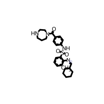 Cc1cccc(S(=O)(=O)Nc2ccc(C(=O)N3CCCNCC3)cc2)c1/N=C\C1CCCCC1